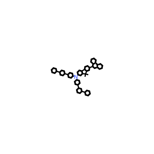 CC1(C)c2cc(-c3cc4ccccc4c4ccccc34)ccc2-c2ccc(N(c3ccc(-c4ccc(-c5ccccc5)cc4)cc3)c3ccc(-c4cccc(-c5ccccc5)c4)cc3)cc21